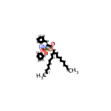 CCCCCCCCCC(CCCCCCCCC)COC(=O)[C@H](Cc1ccccc1)NP(=O)(Cl)Oc1ccccc1